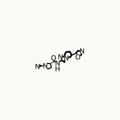 N#CN1CC[C@H](C(=O)Nc2cn3cc(-c4cnco4)ccc3n2)C1